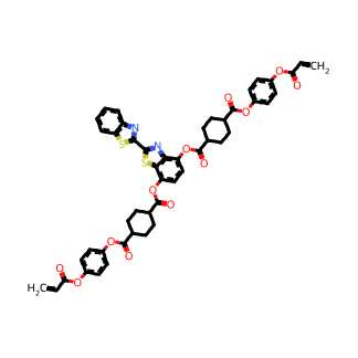 C=CC(=O)Oc1ccc(OC(=O)C2CCC(C(=O)Oc3ccc(OC(=O)C4CCC(C(=O)Oc5ccc(OC(=O)C=C)cc5)CC4)c4sc(-c5nc6ccccc6s5)nc34)CC2)cc1